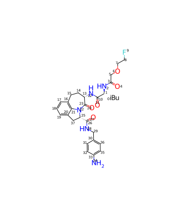 CC[C@H](C)[C@H](NC(=O)COCCF)C(=O)N[C@H]1CCc2cccc3c2N(C1=O)[C@H](C(=O)NCc1ccc(N)cc1)C3